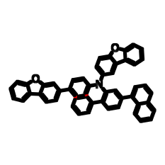 c1ccc(-c2ccc(-c3cccc4ccccc34)cc2N(c2ccc(-c3ccc4c(c3)oc3ccccc34)cc2)c2ccc3oc4ccccc4c3c2)cc1